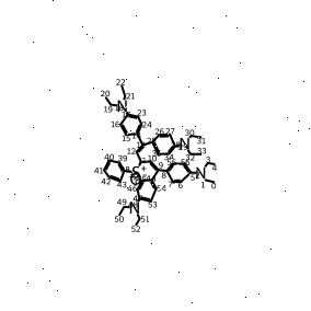 CCN(CC)c1ccc(C(=CC(C=C(c2ccc(N(CC)CC)cc2)c2ccc(N(CC)CC)cc2)[S+]([O-])c2ccccc2)c2ccc(N(CC)CC)cc2)cc1